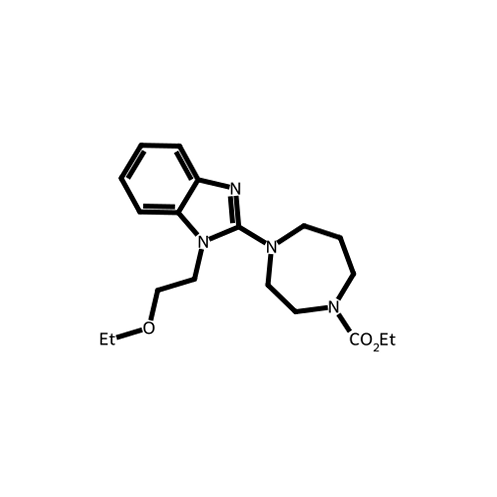 CCOCCn1c(N2CCCN(C(=O)OCC)CC2)nc2ccccc21